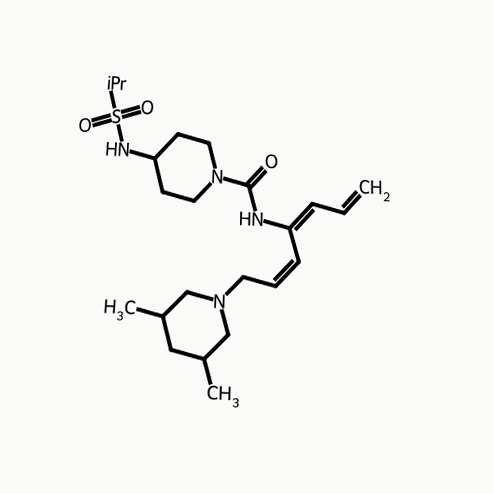 C=C/C=C(\C=C/CN1CC(C)CC(C)C1)NC(=O)N1CCC(NS(=O)(=O)C(C)C)CC1